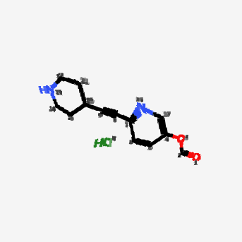 Cl.O=COc1ccc(C#CC2CCNCC2)nc1